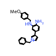 COc1ccc(CNc2cc(-c3ccn(Cc4ccccc4)c3)ccc2N)cc1